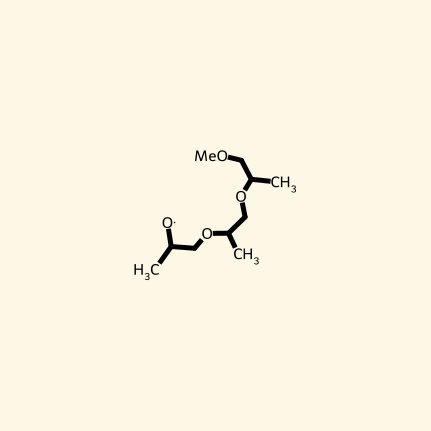 COCC(C)OCC(C)OCC(C)[O]